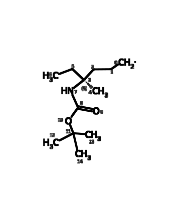 [CH2]CC[C@](C)(CC)NC(=O)OC(C)(C)C